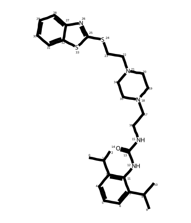 CC(C)c1cccc(C(C)C)c1NC(=O)NCCN1CCN(CCSc2nc3ccccc3s2)CC1